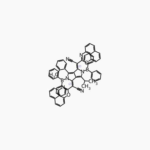 Cc1ccccc1-c1c2/c(=C(\C#N)C3=Nc4cccc5cccc(c45)O3)n(B(c3ccccc3)c3ccccc3)c(C(C)C)c2/c(=C(\C#N)C2=Nc3cccc4cccc(c34)O2)n1B(c1ccccc1)c1ccccc1